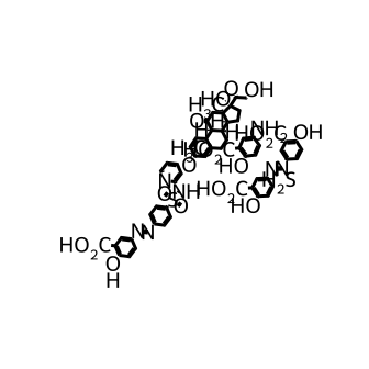 C[C@]12C=CC(=O)C=C1CC[C@@H]1[C@@H]2C(=O)C[C@@]2(C)[C@H]1CC[C@]2(O)C(=O)CO.Nc1ccc(O)c(C(=O)O)c1.O=C(O)c1cc(/N=N/c2ccc(O)c(C(=O)O)c2)ccc1O.O=C(O)c1cc(/N=N/c2ccc(S(=O)(=O)Nc3ccccn3)cc2)ccc1O.S